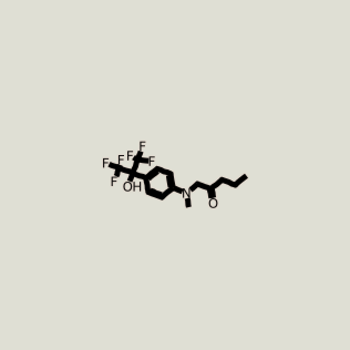 CCCC(=O)CN(C)c1ccc(C(O)(C(F)(F)F)C(F)(F)F)cc1